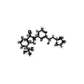 CC(Cc1nncs1)c1cccc(N2Cc3c(cccc3C(F)(F)F)C2=O)c1